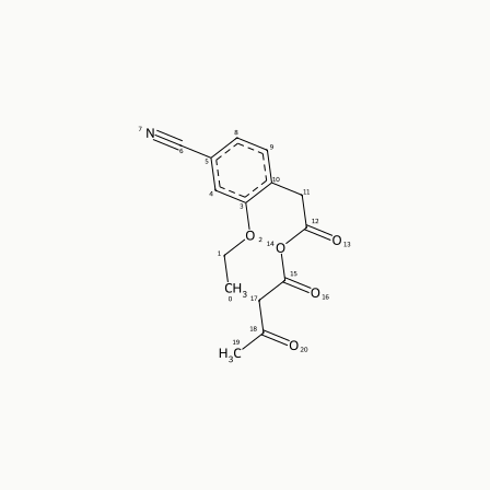 CCOc1cc(C#N)ccc1CC(=O)OC(=O)CC(C)=O